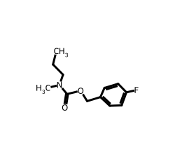 CCCN(C)C(=O)OCc1ccc(F)cc1